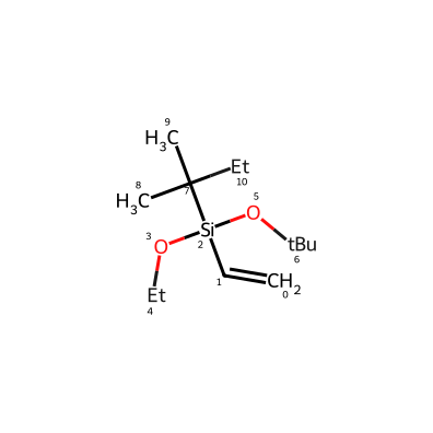 C=C[Si](OCC)(OC(C)(C)C)C(C)(C)CC